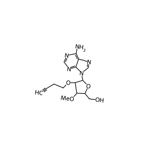 C#CCCOC1C(OC)C(CO)OC1n1cnc2c(N)ncnc21